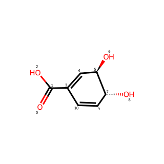 O=C(O)C1=C[C@@H](O)[C@H](O)C=C1